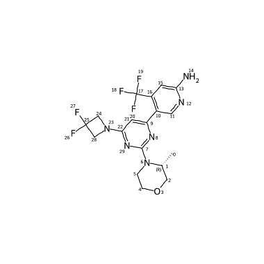 C[C@@H]1COCCN1c1nc(-c2cnc(N)cc2C(F)(F)F)cc(N2CC(F)(F)C2)n1